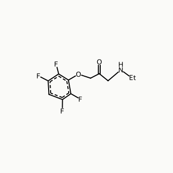 CCNCC(=O)COc1c(F)c(F)cc(F)c1F